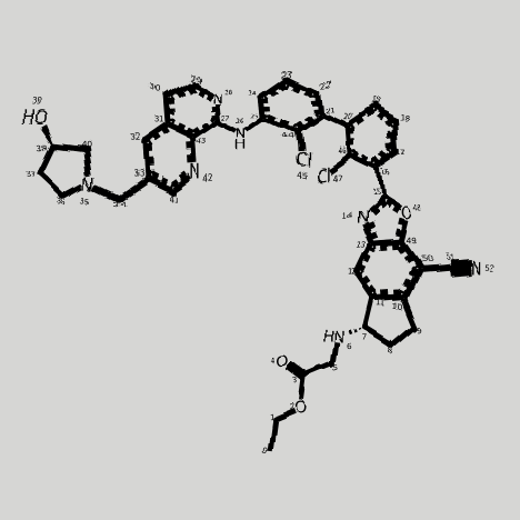 CCOC(=O)CN[C@H]1CCc2c1cc1nc(-c3cccc(-c4cccc(Nc5nccc6cc(CN7CC[C@@H](O)C7)cnc56)c4Cl)c3Cl)oc1c2C#N